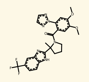 COc1cc(C(=O)N2CCCC2(C)c2nc3cc(C(F)(F)F)ccc3[nH]2)c(-n2nccn2)cc1OC